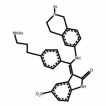 CC(=O)NCCCc1ccc(/C(Nc2ccc3c(c2)CCN(C(C)=O)C3)=C2/C(=O)Nc3ccc([N+](=O)[O-])cc32)cc1